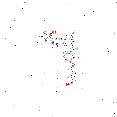 Cc1cc(Nc2nccc(OCCCCO)n2)cc(-c2cnc(C3(O)CCC3)s2)c1